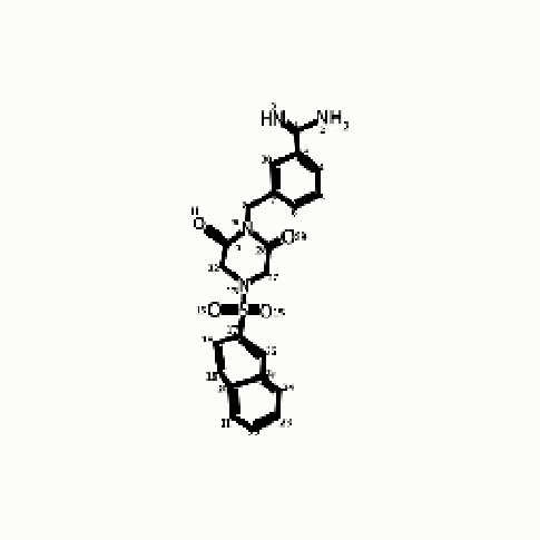 N=C(N)c1cccc(CN2C(=O)CN(S(=O)(=O)c3ccc4ccccc4c3)CC2=O)c1